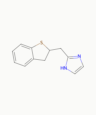 c1ccc2c(c1)CC(Cc1ncc[nH]1)S2